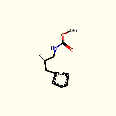 C[C@H](CNC(=O)OC(C)(C)C)Cc1ccccc1